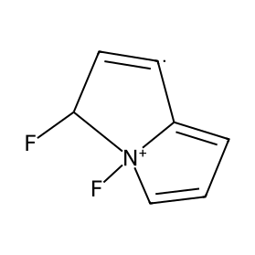 FC1C=[C]C2=CC=C[N+]21F